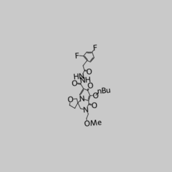 CCCCOc1c2n(cc(C(=O)NNC(=O)Cc3ccc(F)cc3F)c1=O)C1(CCOC1)CN(CCOC)C2=O